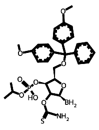 B[C@@H]1O[C@H](COC(c2ccccc2)(c2ccc(OC)cc2)c2ccc(OC)cc2)[C@H](OP(=O)(O)OC(C)C)C1OC(N)=S